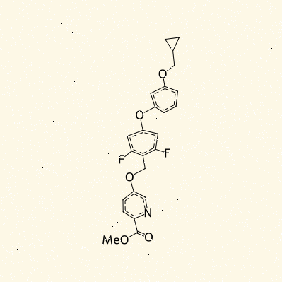 COC(=O)c1ccc(OCc2c(F)cc(Oc3cccc(OCC4CC4)c3)cc2F)cn1